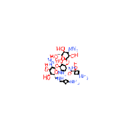 NC1CC(CNC[C@H]2O[C@H](OC3[C@@H](N)C[C@@H](NC(=O)C4(O)CC(N)C4)[C@H](O[C@H]4O[C@H](CO)[C@@H](O)[C@H](N)[C@H]4O)[C@H]3O)[C@H](N)[C@@H](O)[C@@H]2O)C1